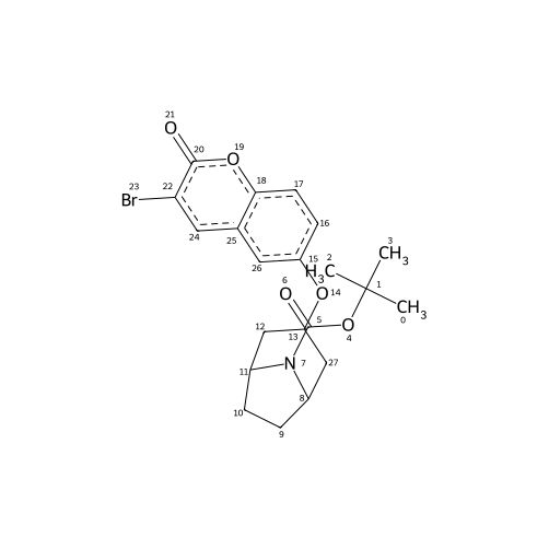 CC(C)(C)OC(=O)N1C2CCC1CC(Oc1ccc3oc(=O)c(Br)cc3c1)C2